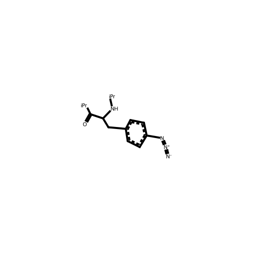 CC(C)NC(Cc1ccc(N=[N+]=[N-])cc1)C(=O)C(C)C